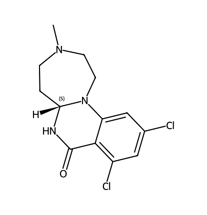 CN1CC[C@H]2NC(=O)c3c(Cl)cc(Cl)cc3N2CC1